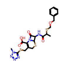 CC(SCOCc1ccccc1)C(=O)NC1C(=O)N2C(C(=O)O)=C(CSc3nnnn3C)CSC12